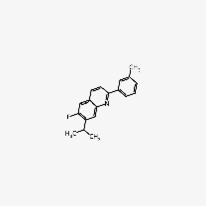 Cc1cccc(-c2ccc3cc(F)c(C(C)C)cc3n2)c1